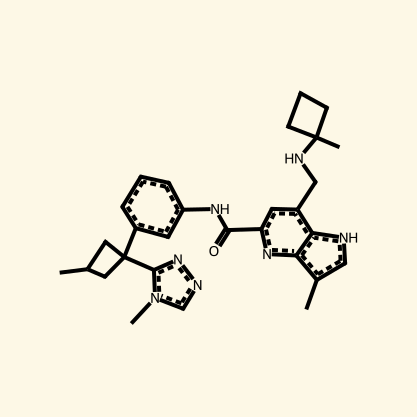 Cc1c[nH]c2c(CNC3(C)CCC3)cc(C(=O)Nc3cccc(C4(c5nncn5C)CC(C)C4)c3)nc12